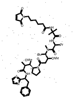 CCC(C)C(C(CC(=O)N1CCC[C@H]1C(OC)C(C)C(=O)NC(Cc1ccccc1)c1nccs1)OC)N(C)C(=O)C(NC(=O)C(C)(C)NC(=O)CCCCCN1C(=O)C=CC1=O)C(C)C